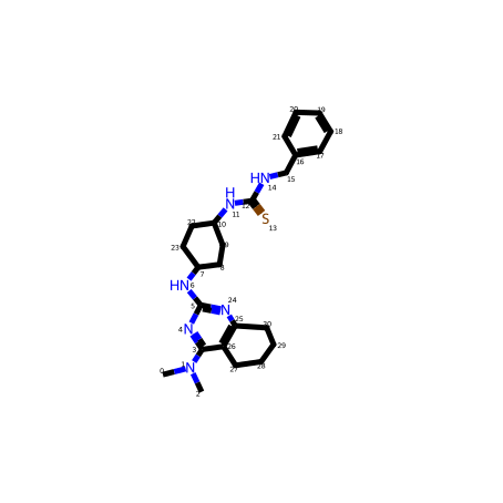 CN(C)c1nc(NC2CCC(NC(=S)NCc3ccccc3)CC2)nc2c1CCCC2